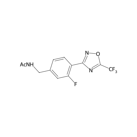 CC(=O)NCc1ccc(-c2noc(C(F)(F)F)n2)c(F)c1